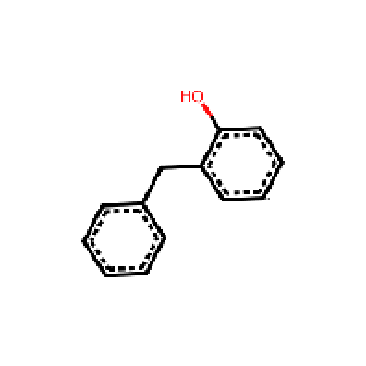 Oc1cc[c]cc1Cc1ccccc1